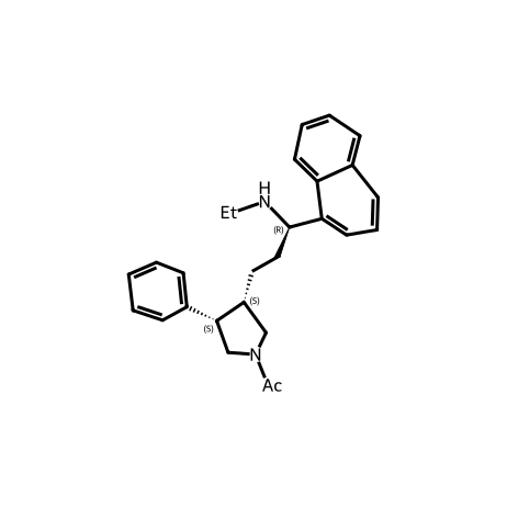 CCN[C@H](CC[C@@H]1CN(C(C)=O)C[C@@H]1c1ccccc1)c1cccc2ccccc12